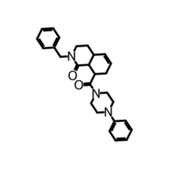 O=C(C1CC=CC2CCN(Cc3ccccc3)C(=O)C21)N1CCN(c2ccccc2)CC1